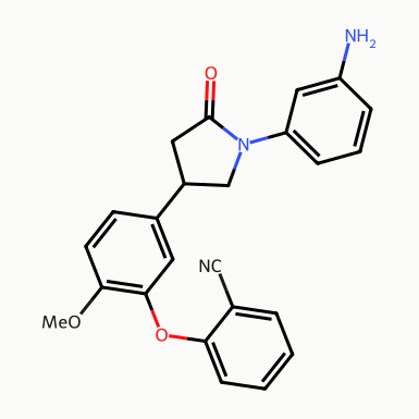 COc1ccc(C2CC(=O)N(c3cccc(N)c3)C2)cc1Oc1ccccc1C#N